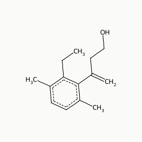 C=C(CCO)c1c(C)ccc(C)c1CC